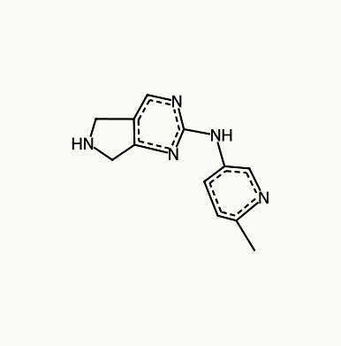 Cc1ccc(Nc2ncc3c(n2)CNC3)cn1